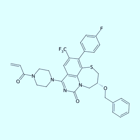 C=CC(=O)N1CCN(c2nc(=O)n3c4c(c(-c5ccc(F)cc5)c(C(F)(F)F)cc24)SC[C@H](OCc2ccccc2)C3)CC1